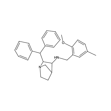 COc1ccc(C)cc1CNC1C2CCN(C2)C1C(c1ccccc1)c1ccccc1